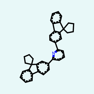 c1cc(-c2ccc3c(c2)C2(CCCC2)c2ccccc2-3)nc(-c2ccc3c(c2)C2(CCCC2)c2ccccc2-3)c1